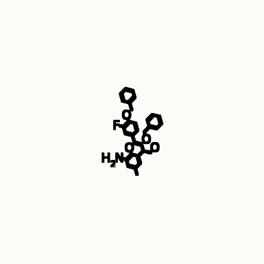 Cc1cc(N)c2c(c1)C(C=O)C(OCc1ccccc1)=C(c1ccc(OCc3ccccc3)c(F)c1)O2